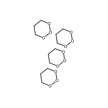 C1COOOC1.C1COOOC1.C1COOOC1.C1COOOC1